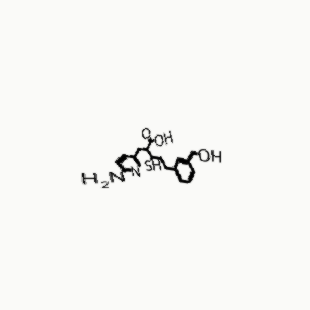 Nc1ccc(CC(C(=O)O)C(S)CCc2cccc(CO)c2)cn1